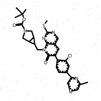 CSc1ncc2cc(-c3ccc(-c4cncc(C)n4)cc3Cl)c(=O)n(CC3C4CN(C(=O)OC(C)(C)C)CC43)c2n1